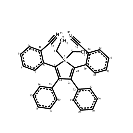 CC[Si]1(CC)C(c2ccccc2C#N)=C(c2ccccc2)C(c2ccccc2)=C1c1ccccc1C#N